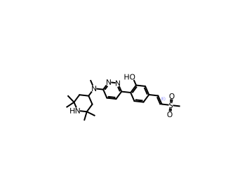 CN(c1ccc(-c2ccc(/C=C/S(C)(=O)=O)cc2O)nn1)C1CC(C)(C)NC(C)(C)C1